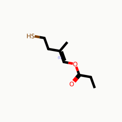 CCC(=O)O/C=C(\C)CCS